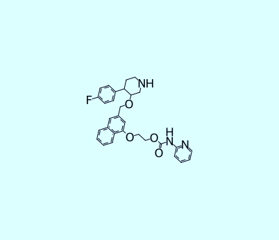 O=C(Nc1ccccn1)OCCOc1cc(COC2CNCCC2c2ccc(F)cc2)cc2ccccc12